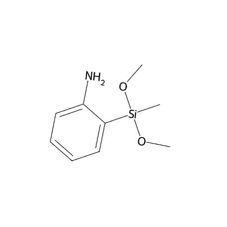 CO[Si](C)(OC)c1ccccc1N